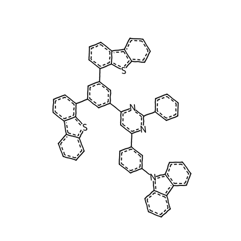 c1ccc(-c2nc(-c3cc(-c4cccc5c4sc4ccccc45)cc(-c4cccc5c4sc4ccccc45)c3)cc(-c3cccc(-n4c5ccccc5c5ccccc54)c3)n2)cc1